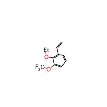 C=Cc1cccc(OC(F)(F)F)c1OCC